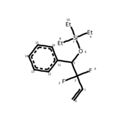 C=CC(F)(F)C(O[Si](CC)(CC)CC)c1ccccc1